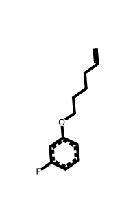 C=CCCCCOc1cc[c]c(F)c1